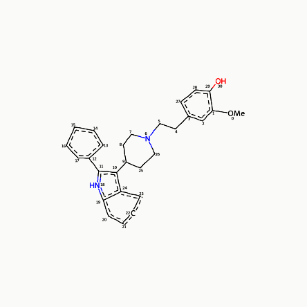 COc1cc(CCN2CCC(c3c(-c4ccccc4)[nH]c4ccccc34)CC2)ccc1O